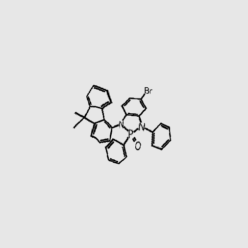 CC1(C)c2ccccc2-c2c(N3c4ccc(Br)cc4N(c4ccccc4)P3(=O)c3ccccc3)cccc21